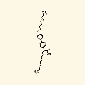 CCCCCCCCCC(C(=O)O)c1cnc(-c2ccc(OCCCCOCCC)cc2)nc1